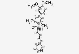 COc1ccc(-c2cc(C)c(C(=O)NCCCCc3cccnc3)c(C)c2)cc1OC